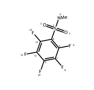 CNS(=O)(=O)c1c(F)c(F)c(F)c(F)c1F